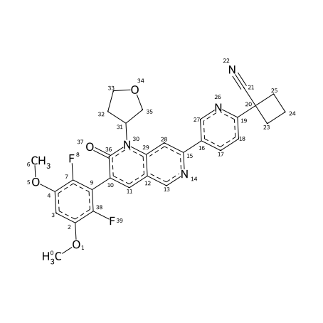 COc1cc(OC)c(F)c(-c2cc3cnc(-c4ccc(C5(C#N)CCC5)nc4)cc3n(C3CCOC3)c2=O)c1F